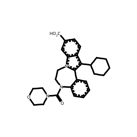 O=C(O)c1ccc2c(C3CCCCC3)c3n(c2c1)CCN(C(=O)N1CCOCC1)c1ccccc1-3